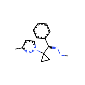 O=CNN=C(c1ccccc1)C1(n2ccc(C(F)(F)F)n2)CC1